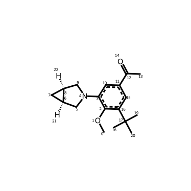 COc1c(N2C[C@H]3C[C@H]3C2)cc(C(C)=O)cc1C(C)(C)C